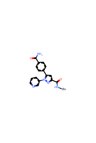 CC(C)(C)NC(=O)c1cc(-c2ccc(C(N)=O)cc2)n(-c2cccnc2)n1